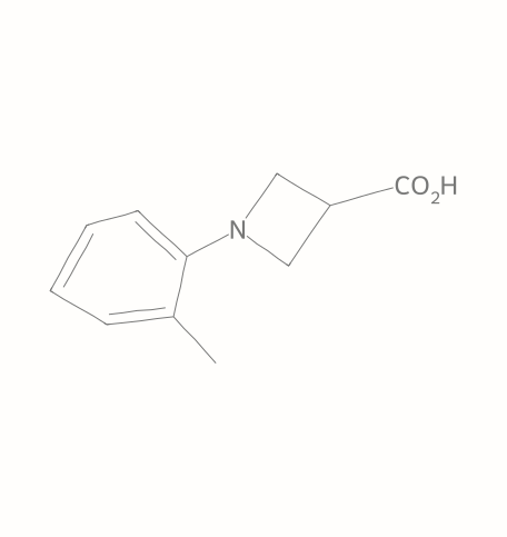 Cc1ccccc1N1CC(C(=O)O)C1